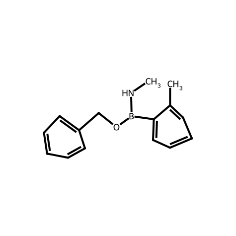 CNB(OCc1ccccc1)c1ccccc1C